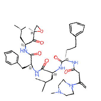 C=C(CC(=O)N[C@@H](CCc1ccccc1)C(=O)N[C@@H](CC(C)C)C(=O)N[C@@H](Cc1ccccc1)C(=O)N[C@@H](CC(C)C)C(=O)[C@@]1(C)CO1)N1CCN(C)CC1